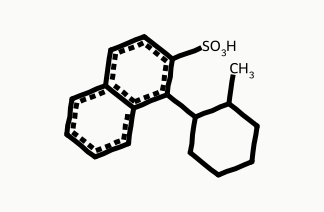 CC1CCCCC1c1c(S(=O)(=O)O)ccc2ccccc12